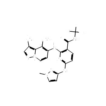 [2H]C([2H])([2H])NC(=O)c1ccc(Nc2ccn(C)n2)nc1Nc1ccn2ncc(C#N)c2c1OC